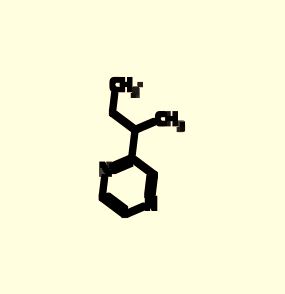 [CH2]CC(C)c1cnccn1